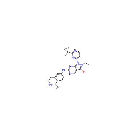 CCn1c(=O)c2cnc(Nc3ccc4c(c3)CCNC43CC3)nc2n1-c1ccnc(C2(C)CC2)n1